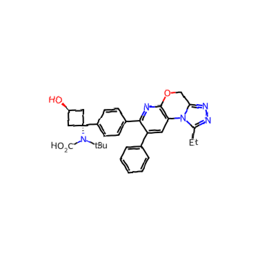 CCc1nnc2n1-c1cc(-c3ccccc3)c(-c3ccc([C@]4(N(C(=O)O)C(C)(C)C)C[C@H](O)C4)cc3)nc1OC2